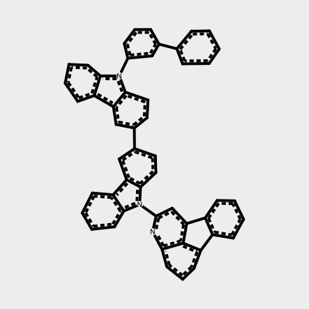 c1ccc(-c2cccc(-n3c4ccccc4c4cc(-c5ccc6c(c5)c5ccccc5n6-c5cc6c7c(cccc7n5)-c5ccccc5-6)ccc43)c2)cc1